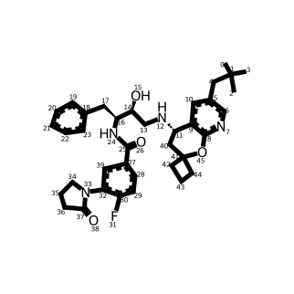 CC(C)(C)Cc1cnc2c(c1)[C@@H](NC[C@H](O)[C@H](Cc1ccccc1)NC(=O)c1ccc(F)c(N3CCCC3=O)c1)CC1(CCC1)O2